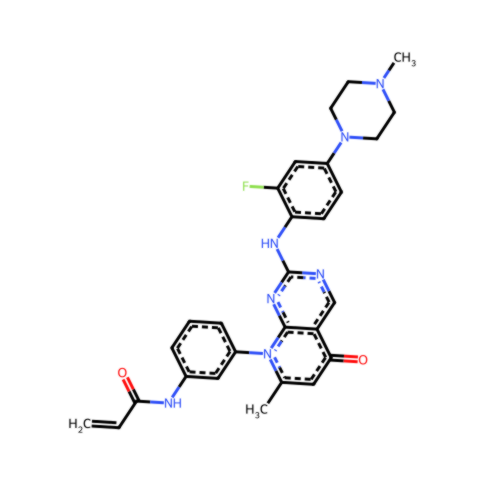 C=CC(=O)Nc1cccc(-n2c(C)cc(=O)c3cnc(Nc4ccc(N5CCN(C)CC5)cc4F)nc32)c1